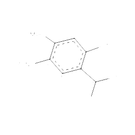 COc1cc(Cl)c(C(F)F)cc1NC(C)=O